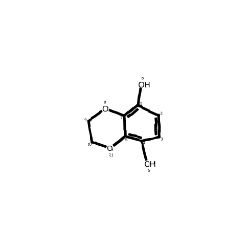 Oc1ccc(O)c2c1OCCO2